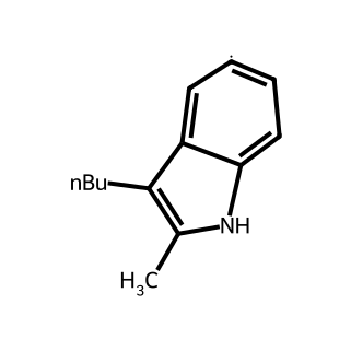 CCCCc1c(C)[nH]c2cc[c]cc12